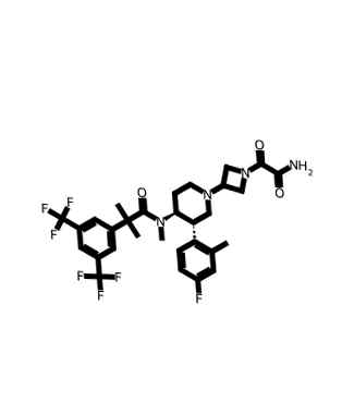 Cc1cc(F)ccc1[C@H]1CN(C2CN(C(=O)C(N)=O)C2)CC[C@@H]1N(C)C(=O)C(C)(C)c1cc(C(F)(F)F)cc(C(F)(F)F)c1